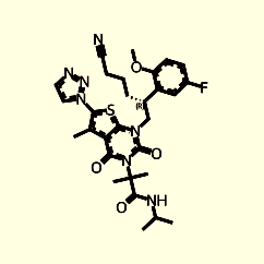 COc1ccc(F)cc1[C@@H](CCCC#N)Cn1c(=O)n(C(C)(C)C(=O)NC(C)C)c(=O)c2c(C)c(-n3ccnn3)sc21